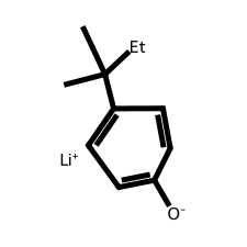 CCC(C)(C)c1ccc([O-])cc1.[Li+]